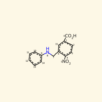 O=C(O)c1ccc([N+](=O)[O-])c(CNc2ccccc2)c1